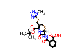 Cn1nnnc1SCC1=C(C(=O)OC(C)(C)C)N2C(=O)C(NC(=O)c3ccccc3C(=O)O)[C@@H]2SC1